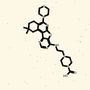 CC1(C)CCc2c(N3CCSCC3)nc3sc4c(NCCN5CCN(C(=O)O)CC5)ncnc4c3c2C1